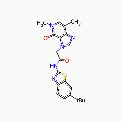 Cc1cn(C)c(=O)c2c1ncn2CC(=O)Nc1nc2ccc(C(C)(C)C)cc2s1